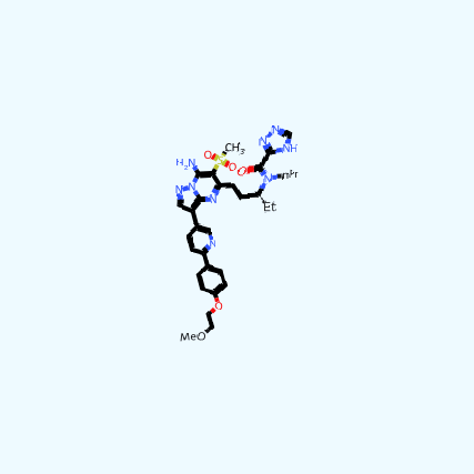 CCCN(C(=O)c1nnc[nH]1)[C@H](CC)CCc1nc2c(-c3ccc(-c4ccc(OCCOC)cc4)nc3)cnn2c(N)c1S(C)(=O)=O